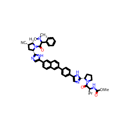 COC(=O)N[C@H](C(=O)N1CCC[C@H]1c1ncc(-c2ccc(-c3ccc4cc(-c5cnc([C@@H]6C[C@H](C#N)CN6C(=O)C(c6ccccc6)N(C)C)[nH]5)ccc4c3)cc2)[nH]1)C(C)C